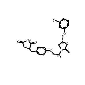 C[C@@H](COc1ccc(CC2SC(=O)NC2=O)cc1)N1C[C@H](COc2cccc(Cl)c2)OC1=O